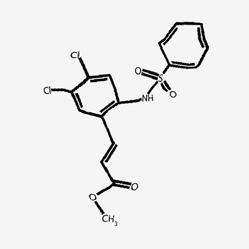 COC(=O)/C=C/c1cc(Cl)c(Cl)cc1NS(=O)(=O)c1ccccc1